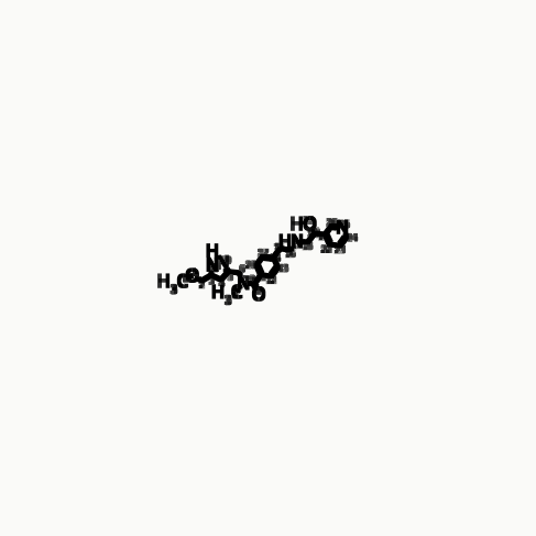 COCC1CC(CN(C)C(=O)c2ccc(CCNC[C@H](O)c3cccnc3)cc2)=NN1